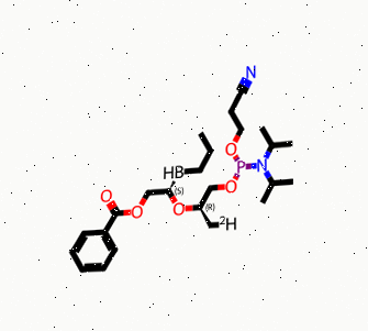 [2H]C[C@H](COP(OCCC#N)N(C(C)C)C(C)C)O[C@@H](BCCC)COC(=O)c1ccccc1